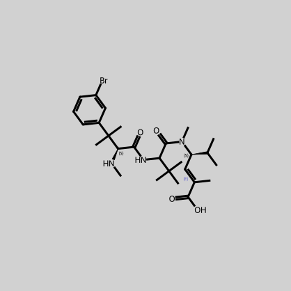 CN[C@H](C(=O)NC(C(=O)N(C)[C@H](/C=C(\C)C(=O)O)C(C)C)C(C)(C)C)C(C)(C)c1cccc(Br)c1